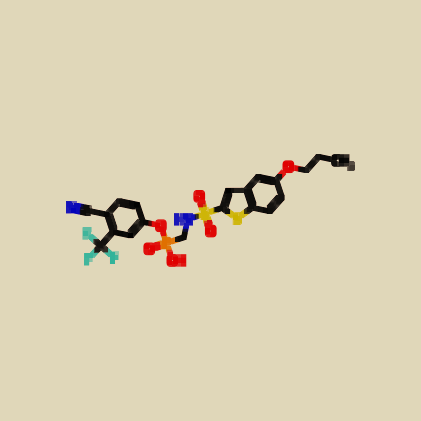 CCCOc1ccc2sc(S(=O)(=O)NCP(=O)(O)Oc3ccc(C#N)c(C(F)(F)F)c3)cc2c1